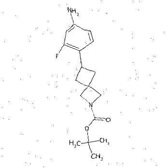 CC(C)(C)OC(=O)N1CC2(CC(c3ccc(N)cc3F)C2)C1